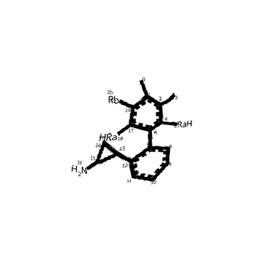 Cc1c(C)[c]([RaH])c(-c2ccccc2C2CC2N)[c]([RaH])[c]1[Rb]